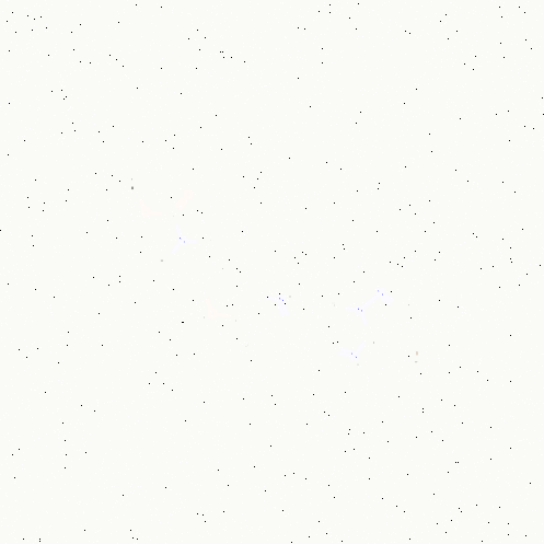 CC(C)(C)OC(=O)N1CCC(Oc2ccc(-c3cnc4c(Br)cnn4c3)nc2)CC1